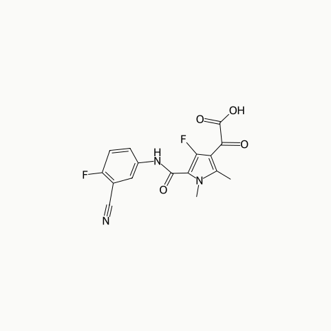 Cc1c(C(=O)C(=O)O)c(F)c(C(=O)Nc2ccc(F)c(C#N)c2)n1C